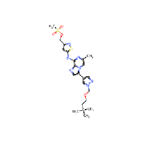 Cc1cn2c(-c3cnn(COCC[Si](C)(C)C)c3)cnc2c(Nc2cc(COS(C)(=O)=O)ns2)n1